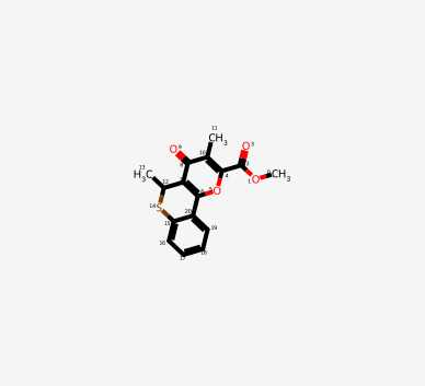 COC(=O)c1oc2c(c(=O)c1C)C(C)Sc1ccccc1-2